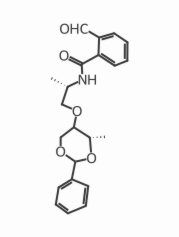 C[C@@H]1OC(c2ccccc2)OCC1OC[C@H](C)NC(=O)c1ccccc1C=O